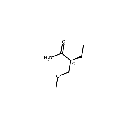 CC[C@@H](COC)C(N)=O